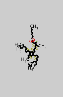 CCCCCCCCOC(=O)c1sc2c(-c3cc4c(-c5ccc(CC(CC)CCCC)s5)c5sc(C)cc5c(-c5ccc(CC(CC)CCCC)s5)c4s3)sc(C)c2c1F